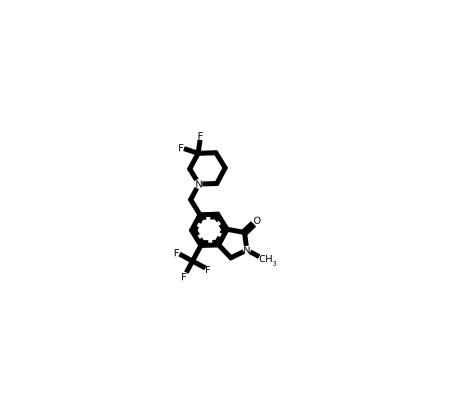 CN1Cc2c(cc(CN3CCCC(F)(F)C3)cc2C(F)(F)F)C1=O